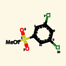 [CH2]OS(=O)(=O)c1cc(Cl)cc(Cl)c1